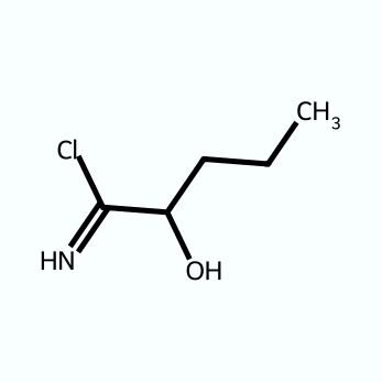 CCCC(O)C(=N)Cl